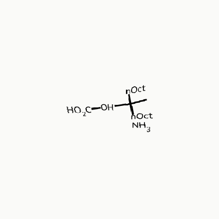 CCCCCCCCC(C)(C)CCCCCCCC.N.O=C(O)O